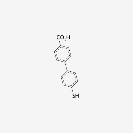 O=C(O)c1ccc(-c2ccc(S)cc2)cc1